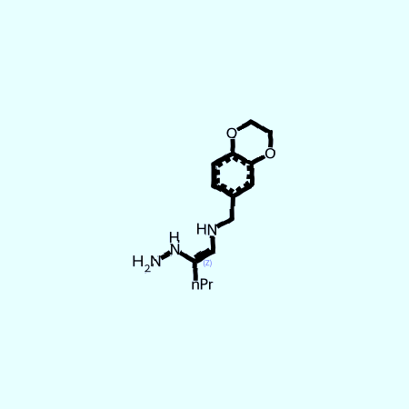 CCC/C(=C/NCc1ccc2c(c1)OCCO2)NN